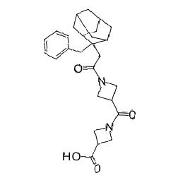 O=C(O)C1CN(C(=O)C2CN(C(=O)CC3(Cc4ccccc4)C4CC5CC(C4)CC3C5)C2)C1